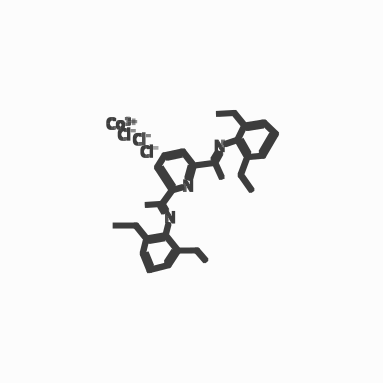 CCc1cccc(CC)c1N=C(C)c1cccc(C(C)=Nc2c(CC)cccc2CC)n1.[Cl-].[Cl-].[Cl-].[Co+3]